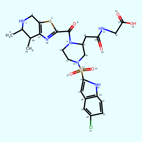 CC1NCc2sc(C(=O)N3CCN(S(=O)(=O)c4cc5cc(Cl)ccc5[nH]4)CC3CC(=O)NCC(=O)O)nc2C1C